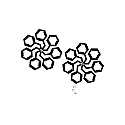 [Cl-].[Cl-].[Ti+4].c1ccc([CH2][Zr-]([CH2]c2ccccc2)([CH2]c2ccccc2)([CH2]c2ccccc2)([CH2]c2ccccc2)([CH2]c2ccccc2)[CH2]c2ccccc2)cc1.c1ccc([CH2][Zr-]([CH2]c2ccccc2)([CH2]c2ccccc2)([CH2]c2ccccc2)([CH2]c2ccccc2)([CH2]c2ccccc2)[CH2]c2ccccc2)cc1